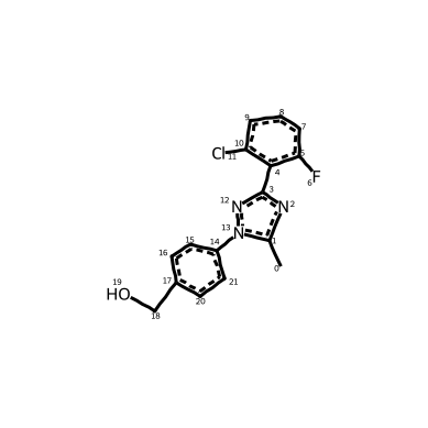 Cc1nc(-c2c(F)cccc2Cl)nn1-c1ccc(CO)cc1